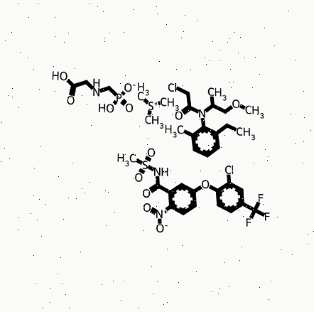 CCc1cccc(C)c1N(C(=O)CCl)C(C)COC.CS(=O)(=O)NC(=O)c1cc(Oc2ccc(C(F)(F)F)cc2Cl)ccc1[N+](=O)[O-].C[S+](C)C.O=C(O)CNCP(=O)([O-])O